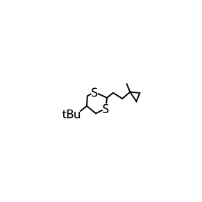 CC1(CCC2SCC(C(C)(C)C)CS2)CC1